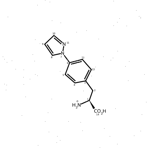 N[C@@H](Cc1ccc(-n2cccn2)cc1)C(=O)O